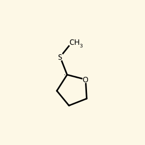 CS[C]1CCCO1